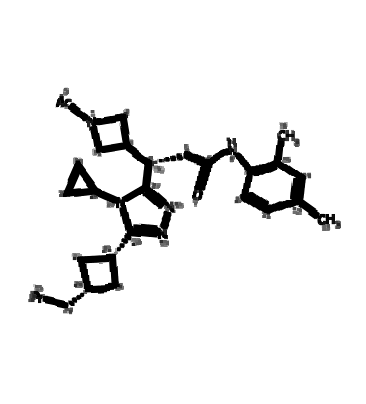 CC(=O)N1CC([C@H](CC(=O)Nc2ccc(C)cc2C)c2nnc([C@H]3C[C@@H](CC(C)C)C3)n2C2CC2)C1